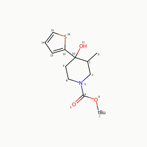 CC1CN(C(=O)OC(C)(C)C)CCC1(O)c1cccs1